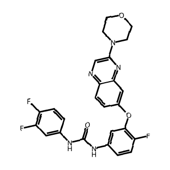 O=C(Nc1ccc(F)c(F)c1)Nc1ccc(F)c(Oc2ccc3ncc(N4CCOCC4)nc3c2)c1